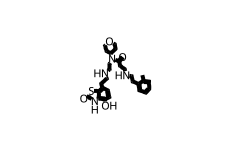 Cc1ccccc1CCNCCC(=O)N(CCNCCc1ccc(O)c2[nH]c(=O)sc12)C1CCOCC1